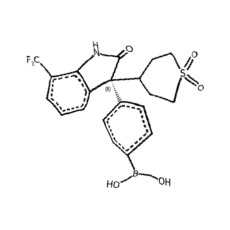 O=C1Nc2c(C(F)(F)F)cccc2[C@]1(c1ccc(B(O)O)cc1)C1CCS(=O)(=O)CC1